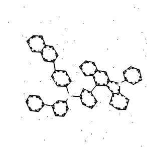 c1ccc(-c2cccc(N(c3ccc(-c4ccc5ccccc5c4)cc3)c3cccc(-c4c5ccccc5cc5c4c4ccccc4n5-c4ccccc4)c3)c2)cc1